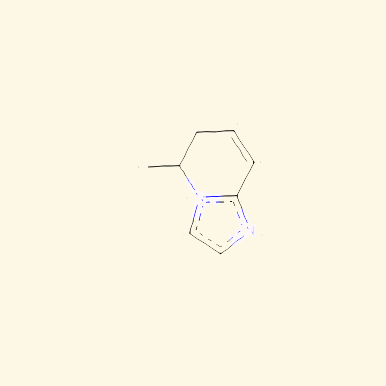 CC1CC=Cc2nccn21